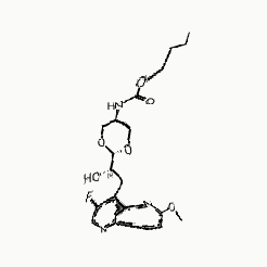 CCCCOC(=O)N[C@H]1CO[C@H]([C@@H](O)Cc2c(F)cnc3ccc(OC)nc23)OC1